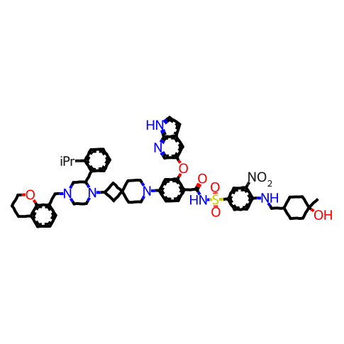 CC(C)c1ccccc1C1CN(Cc2cccc3c2OCCC3)CCN1C1CC2(CCN(c3ccc(C(=O)NS(=O)(=O)c4ccc(NCC5CCC(C)(O)CC5)c([N+](=O)[O-])c4)c(Oc4cnc5[nH]ccc5c4)c3)CC2)C1